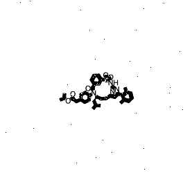 Cc1cccc(C)c1-c1cc2nc(n1)NS(=O)(=O)c1cccc(c1)C(=O)N(C1CCC(CC(=O)OC(C)C)CC1)[C@H](CC(C)C)CC2